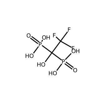 O=P(O)(O)C(O)(C(F)(F)F)P(=O)(O)O